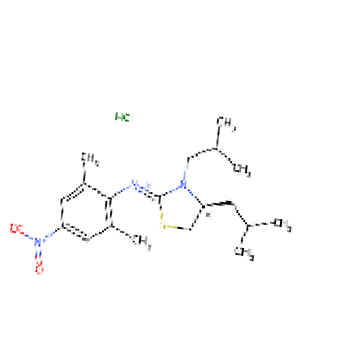 Cc1cc([N+](=O)[O-])cc(C)c1/N=C1\SC[C@H](CC(C)C)N1CC(C)C.Cl